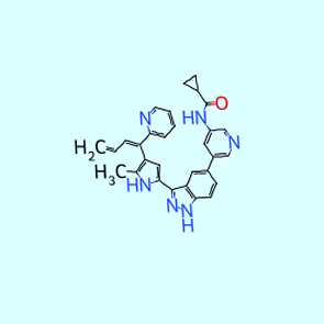 C=C/C=C(/c1ccccn1)c1cc(-c2n[nH]c3ccc(-c4cncc(NC(=O)C5CC5)c4)cc23)[nH]c1C